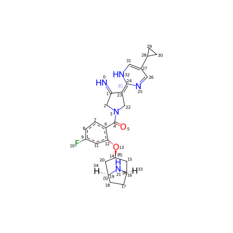 N=C1CN(C(=O)c2ccc(F)cc2O[C@H]2C[C@H]3CC[C@@H](C2)N3)C/C1=C1\N=CC(C2CC2)=CN1